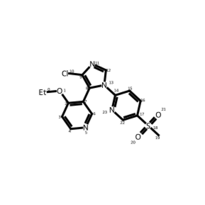 CCOc1ccncc1-c1c(Cl)ncn1-c1ccc(S(C)(=O)=O)cn1